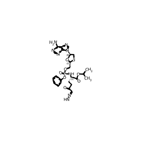 CC(C)OC(=O)[C@H](CCC(=O)C=[N+]=N)NP(=O)(OC[C@H]1O[C@@H](n2cnc3c(N)ncnc32)CS1)Oc1ccccc1